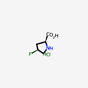 Cl.O=C(O)[C@@H]1C[C@H](F)CN1